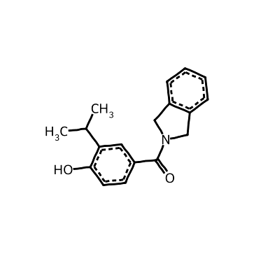 CC(C)c1cc(C(=O)N2Cc3ccccc3C2)ccc1O